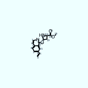 C=Cc1ccc2ccnc(OC3CNC(C(=O)OC)C3)c2c1